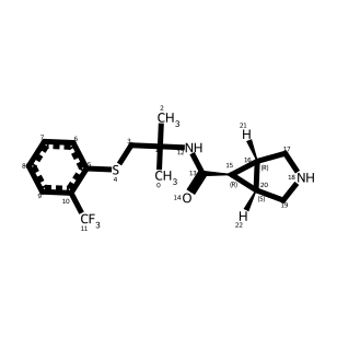 CC(C)(CSc1ccccc1C(F)(F)F)NC(=O)[C@H]1[C@@H]2CNC[C@@H]21